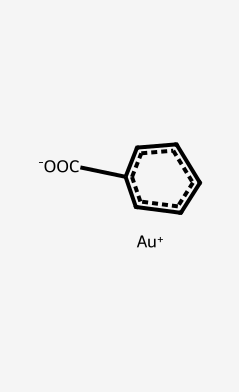 O=C([O-])c1ccccc1.[Au+]